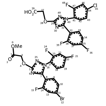 COC(=O)COc1nc(-c2ccc(Br)cc2F)n(-c2ccc(F)cc2F)n1.O=C(O)COc1nc(-c2ccc(F)cc2F)n(-c2ccc(Cl)cc2F)n1